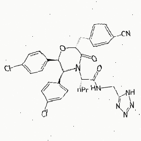 CCC[C@@H](C(=O)NCc1nnn[nH]1)N1C(=O)[C@@H](Cc2ccc(C#N)cc2)O[C@H](c2ccc(Cl)cc2)[C@@H]1c1ccc(Cl)cc1